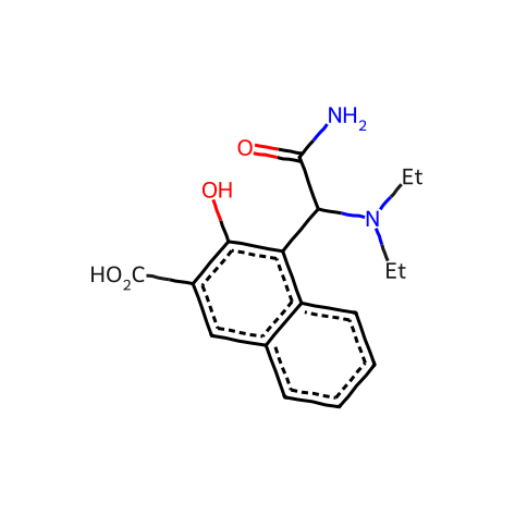 CCN(CC)C(C(N)=O)c1c(O)c(C(=O)O)cc2ccccc12